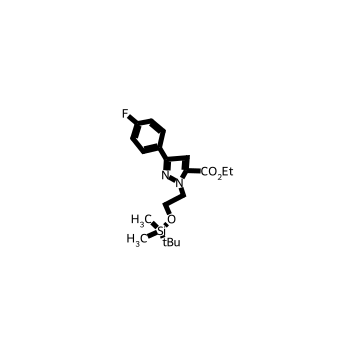 CCOC(=O)c1cc(-c2ccc(F)cc2)nn1CCO[Si](C)(C)C(C)(C)C